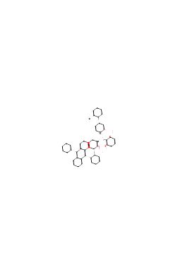 CC(C)(C)c1ccccc1-c1ccc2c(c1)Oc1cccc3c1B2c1cccc(-c2ccccc2-c2c4ccccc4c(-c4ccccc4)c4ccccc24)c1O3